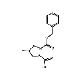 CC1CC(C(=O)O)N(C(=O)OCc2ccccc2)C1